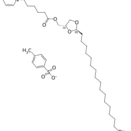 CCCCCCCCCCCCCCCCC[C@@H]1OC[C@@H](COC(=O)CCCCC[n+]2ccccc2)O1.Cc1ccc(S(=O)(=O)[O-])cc1